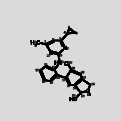 Cc1cc(C2CC2)nc(Nc2ccccc2-c2cc3c(cc2Cl)COB3O)n1